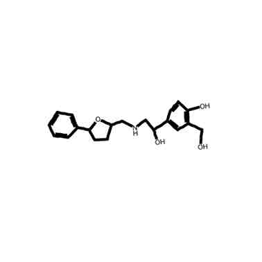 OCc1cc(C(O)CNCC2CCC(c3ccccc3)O2)ccc1O